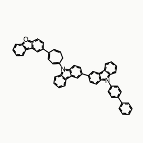 C1=CC(c2ccc3oc4ccccc4c3c2)=CC=C(n2c3ccccc3c3cc(-c4ccc5c(c4)c4ccccc4n5-c4ccc(-c5ccccc5)cc4)ccc32)C1